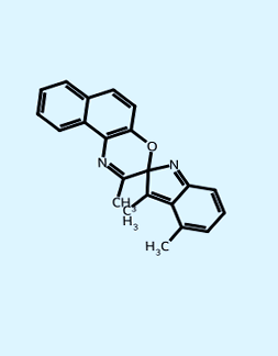 CC1=Nc2c(ccc3ccccc23)OC12N=c1cccc(C)c1=C2C